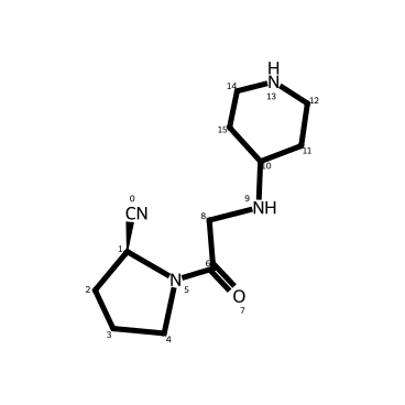 N#C[C@@H]1CCCN1C(=O)CNC1CCNCC1